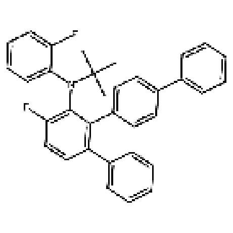 CC(C)(C)N(c1ccccc1F)c1c(F)ccc(-c2ccccc2)c1-c1ccc(-c2ccccc2)cc1